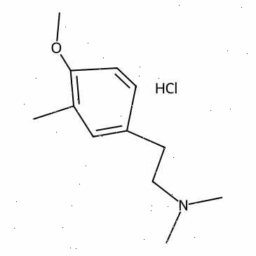 COc1ccc(CCN(C)C)cc1C.Cl